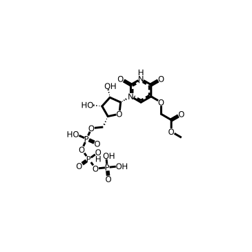 COC(=O)COc1cn([C@@H]2O[C@H](COP(=O)(O)OP(=O)(O)OP(=O)(O)O)[C@H](O)[C@@H]2O)c(=O)[nH]c1=O